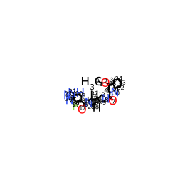 CCOc1cc(C(=O)N2CC3C(C2)[C@@H]2CN(C(=O)c4ccc5[nH]nnc5c4F)C[C@H]32)nc2ccccc12